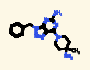 CC1(N)CCN(c2nc(N)nc3c2nnn3Cc2ccccc2)CC1